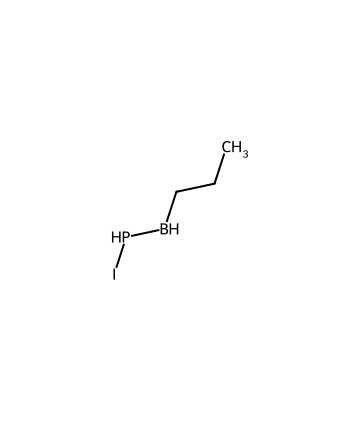 CCCBPI